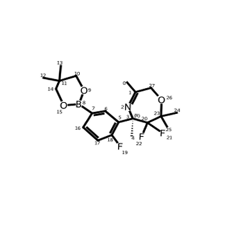 CC1=N[C@](C)(c2cc(B3OCC(C)(C)CO3)ccc2F)C(F)(F)C(C)(C)OC1